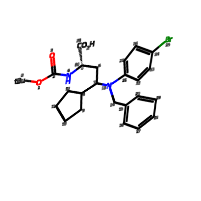 CC(C)(C)OC(=O)N[C@@H](CC(C1CCCC1)N(Cc1ccccc1)c1ccc(Br)cc1)C(=O)O